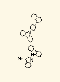 N#Cc1cc(-n2c3ccccc3c3cc(-c4ccc5c(c4)c4ccccc4n5-c4ccc(-c5cccc6ccccc56)cc4)ccc32)nc2ccccc12